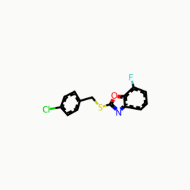 Fc1cccc2nc(SCc3ccc(Cl)cc3)oc12